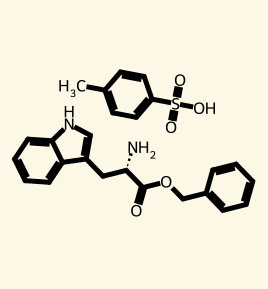 Cc1ccc(S(=O)(=O)O)cc1.N[C@@H](Cc1c[nH]c2ccccc12)C(=O)OCc1ccccc1